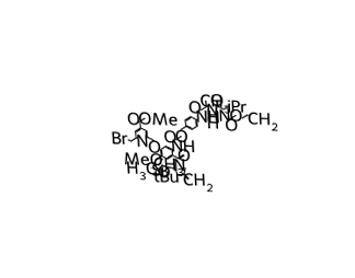 C=CCOC(=O)NC(C(=O)NC(C)C(=O)Nc1ccc(COC(=O)Nc2cc(OCc3cc(C(=O)OC)cc(CBr)n3)c(OC)cc2C(=O)N2CC(=C)CC2CO[Si](C)(C)C(C)(C)C)cc1)C(C)C